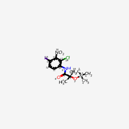 C[C@@](O[Si](C)(C)C)(C(=O)Nc1ccc(I)c([N+](=O)[O-])c1Cl)C(F)(F)F